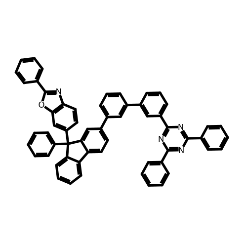 c1ccc(-c2nc(-c3ccccc3)nc(-c3cccc(-c4cccc(-c5ccc6c(c5)C(c5ccccc5)(c5ccc7nc(-c8ccccc8)oc7c5)c5ccccc5-6)c4)c3)n2)cc1